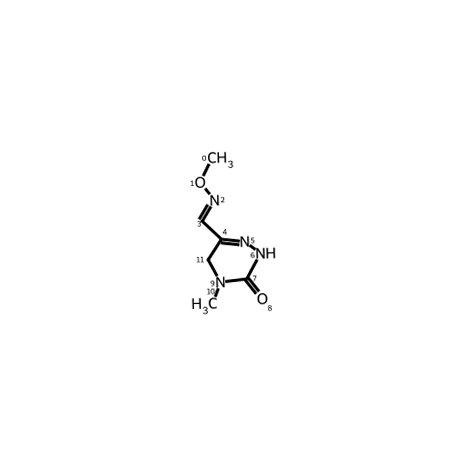 CO/N=C/C1=NNC(=O)N(C)C1